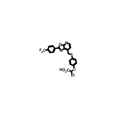 CCC(Oc1ccc(SCc2ccnc3oc(-c4ccc(C(F)(F)F)cc4)nc23)cc1)C(=O)O